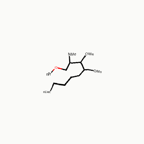 CCCCCCCCCCCCCCC(OC)C(OC)C(COCCC)NC